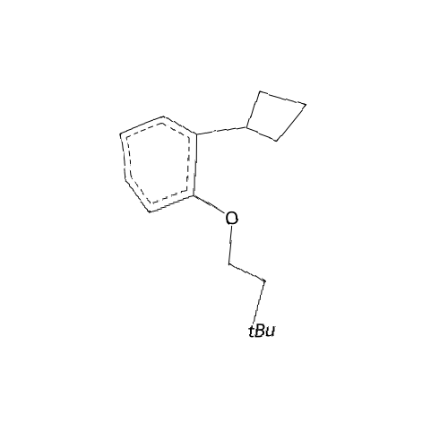 CC(C)(C)CCOc1ccccc1C1CCC1